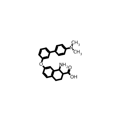 CN(C)c1ccc(-c2cccc(Oc3ccc4c(c3)C(N)C(C(=O)O)CC4)c2)cc1